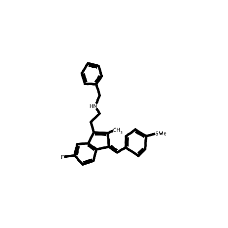 CSc1ccc(C=C2C(C)=C(CCNCc3ccccc3)c3cc(F)ccc32)cc1